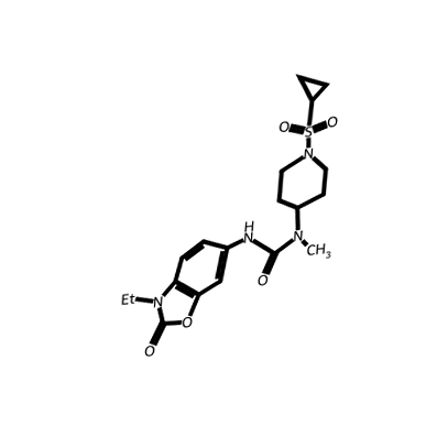 CCn1c(=O)oc2cc(NC(=O)N(C)C3CCN(S(=O)(=O)C4CC4)CC3)ccc21